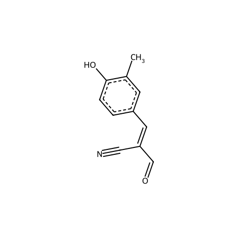 Cc1cc(/C=C(\C#N)C=O)ccc1O